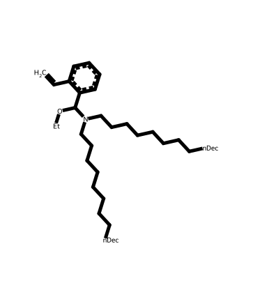 C=Cc1ccccc1C(OCC)N(CCCCCCCCCCCCCCCCCC)CCCCCCCCCCCCCCCCCC